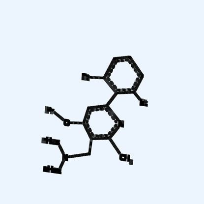 CCCCCCN(CCCCCC)Cc1c(OC(C)C)cc(-c2c(CC)cccc2CC)nc1C